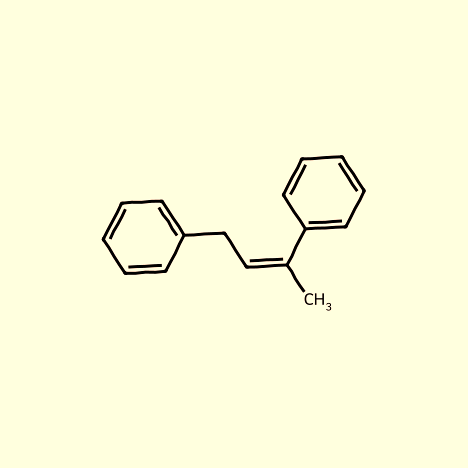 C/C(=C/Cc1ccccc1)c1ccccc1